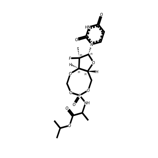 CC(C)OC(=O)C(C)NP1(=O)OCO[C@@H]2[C@@H](CO1)O[C@@H](n1ccc(=O)[nH]c1=O)[C@]2(C)F